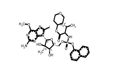 COc1nc(N)nc2c1nc(I)n2[C@@H]1O[C@H](COP(=O)(NC(C(=O)OC2CCOCC2)C(C)C)Oc2cccc3ccccc23)[C@@H](O)[C@@]1(C)O